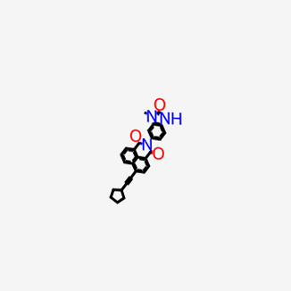 Cn1c(=O)[nH]c2ccc(N3C(=O)c4cccc5c(C#CC6CCCC6)ccc(c45)C3=O)cc21